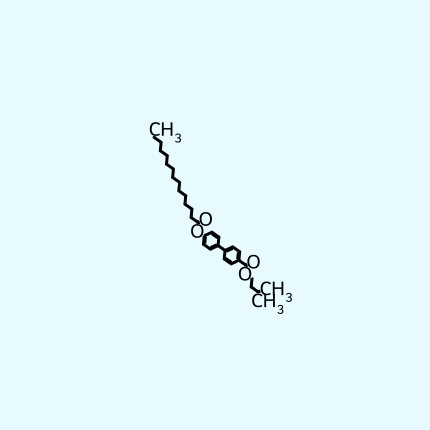 CCCCCCCCCCCCCCC(=O)Oc1ccc(-c2ccc(C(=O)OCCC(C)C)cc2)cc1